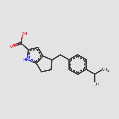 CC(C)c1ccc(CC2CCc3[nH]c(C(=O)O)cc32)cc1